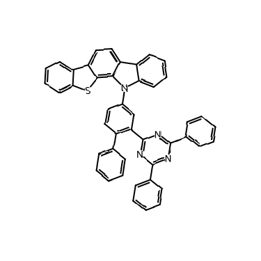 c1ccc(-c2nc(-c3ccccc3)nc(-c3cc(-n4c5ccccc5c5ccc6c7ccccc7sc6c54)ccc3-c3ccccc3)n2)cc1